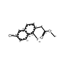 COC(=O)Cc1ccc2cc(Cl)ccc2c1F